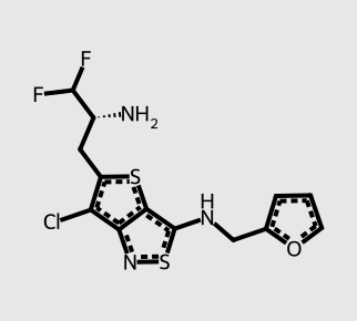 N[C@H](Cc1sc2c(NCc3ccco3)snc2c1Cl)C(F)F